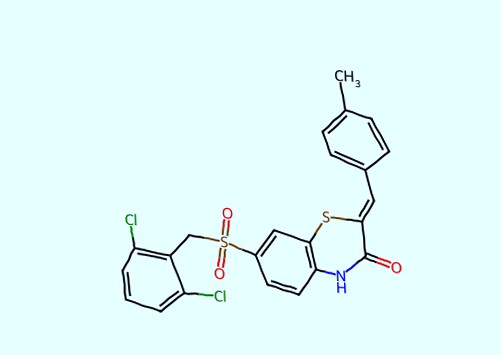 Cc1ccc(C=C2Sc3cc(S(=O)(=O)Cc4c(Cl)cccc4Cl)ccc3NC2=O)cc1